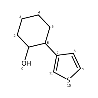 OC1CCCCC1c1ccsc1